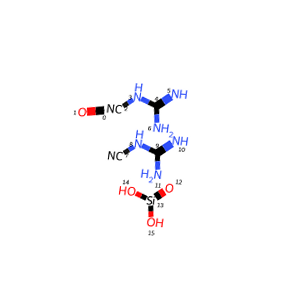 C=O.N#CNC(=N)N.N#CNC(=N)N.O=[Si](O)O